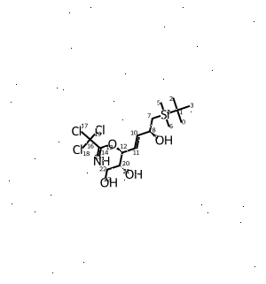 CC(C)(C)[Si](C)(C)C[C@@H](O)C=C[C@H](OC(=N)C(Cl)(Cl)Cl)[C@H](O)CO